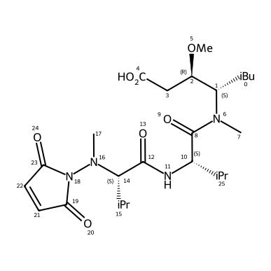 CCC(C)[C@@H]([C@@H](CC(=O)O)OC)N(C)C(=O)[C@@H](NC(=O)[C@H](C(C)C)N(C)N1C(=O)C=CC1=O)C(C)C